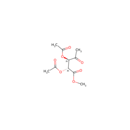 COC(=O)[C@H](OC(C)=O)[C@@H](OC(C)=O)C(C)=O